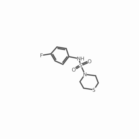 O=S(=O)(Nc1ccc(F)cc1)N1CCSCC1